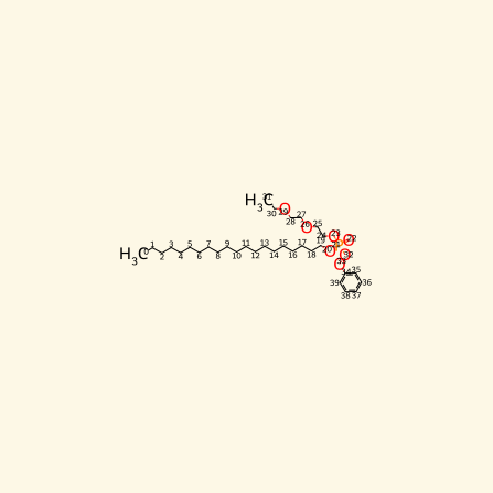 CCCCCCCCCCCCCCCCCCCCOP(=O)(OCCOCCOCC)OOc1ccccc1